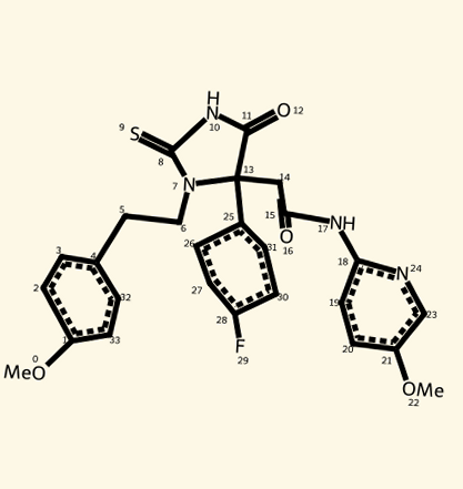 COc1ccc(CCN2C(=S)NC(=O)C2(CC(=O)Nc2ccc(OC)cn2)c2ccc(F)cc2)cc1